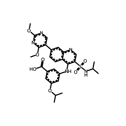 COc1ncc(-c2ccc3c(Nc4cc(OC(C)C)cc(C(=O)O)c4)c(S(=O)(=O)NC(C)C)cnc3c2)c(OC)n1